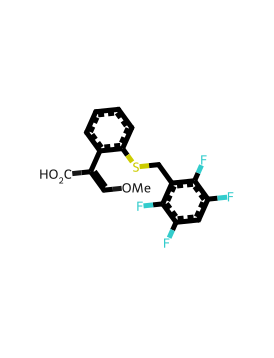 CO/C=C(/C(=O)O)c1ccccc1SCc1c(F)c(F)cc(F)c1F